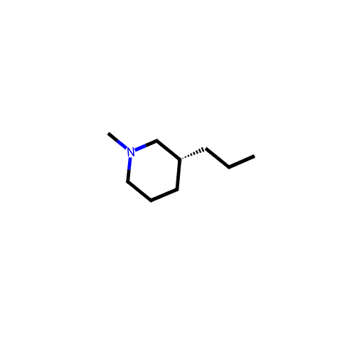 CCC[C@@H]1CCCN(C)C1